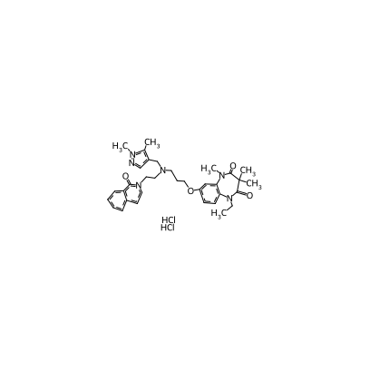 CCN1C(=O)C(C)(C)C(=O)N(C)c2cc(OCCCN(CCn3ccc4ccccc4c3=O)Cc3cnn(C)c3C)ccc21.Cl.Cl